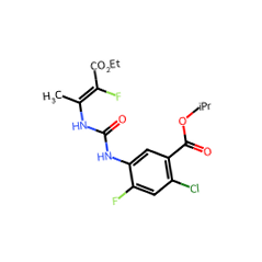 CCOC(=O)C(F)=C(C)NC(=O)Nc1cc(C(=O)OC(C)C)c(Cl)cc1F